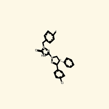 O=c1[nH]c(N2C[C@H](c3ccccc3)C(c3ccc(Cl)cc3)=N2)nn1Cc1ccc(I)cc1